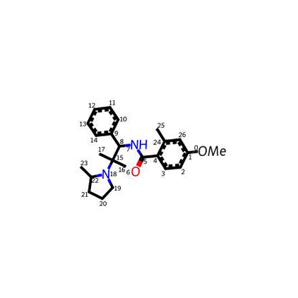 COc1ccc(C(=O)NC(c2ccccc2)C(C)(C)N2CCCC2C)c(C)c1